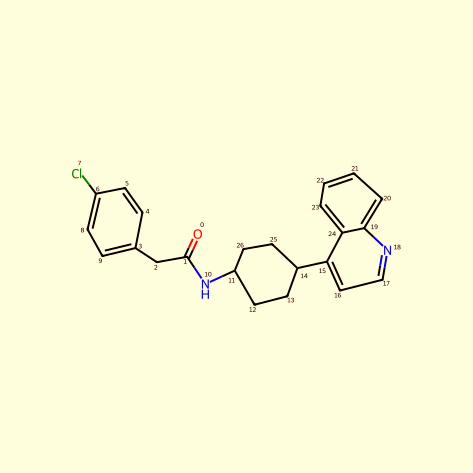 O=C(Cc1ccc(Cl)cc1)NC1CCC(c2ccnc3ccccc23)CC1